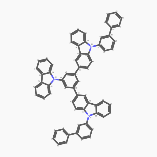 c1ccc(-c2cccc(-n3c4ccccc4c4cc(-c5cc(-c6ccc7c(c6)c6ccccc6n7-c6cccc(-c7ccccc7)c6)cc(-n6c7ccccc7c7ccccc76)c5)ccc43)c2)cc1